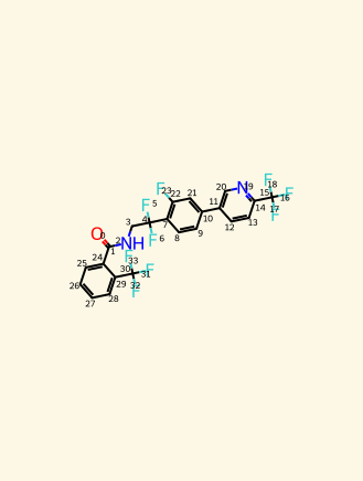 O=C(NCC(F)(F)c1ccc(-c2ccc(C(F)(F)F)nc2)cc1F)c1ccccc1C(F)(F)F